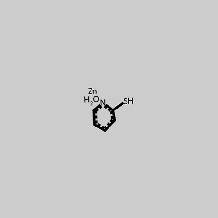 O.Sc1ccccn1.[Zn]